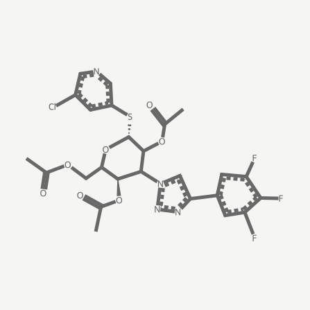 CC(=O)OCC1O[C@H](Sc2cncc(Cl)c2)C(OC(C)=O)C(n2cc(-c3cc(F)c(F)c(F)c3)nn2)[C@H]1OC(C)=O